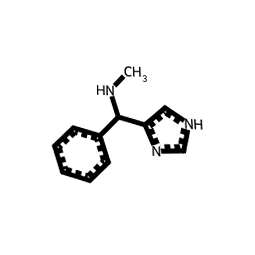 CNC(c1ccccc1)c1c[nH]cn1